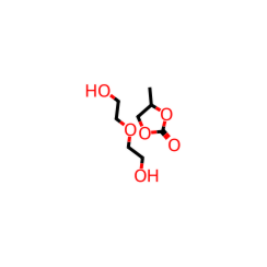 CC1COC(=O)O1.OCCOCCO